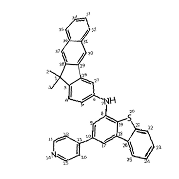 CC1(C)c2ccc(Nc3cc(-c4ccncc4)cc4c3sc3ccccc34)cc2-c2cc3ccccc3cc21